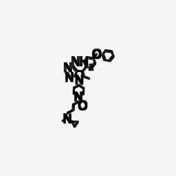 Cc1c(-c2ccc(Oc3ccccc3)cc2)c2c(N)ncnc2n1C1CCN(C(=O)C=CCN(C)C2CC2)CC1